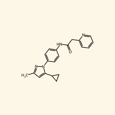 Cc1cc(C2CC2)n(-c2ccc(NC(=O)Cc3ccccn3)cc2)n1